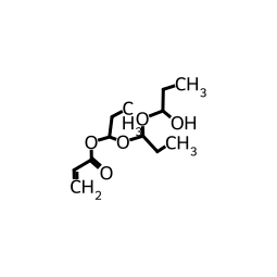 C=CC(=O)OC(CC)OC(CC)OC(O)CC